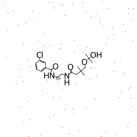 C[C@@H](CNC(=O)CC(C)(C)COC(C)(C)O)NC(=O)c1cccc(Cl)c1